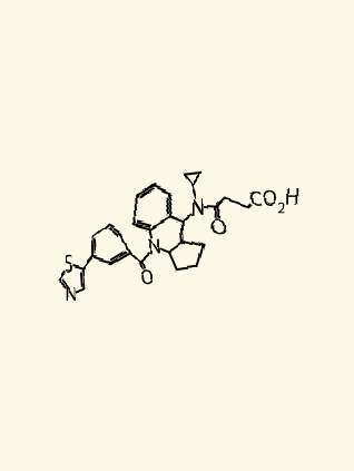 O=C(O)CCC(=O)N(C1CC1)C1c2ccccc2N(C(=O)c2cccc(-c3cncs3)c2)C2CCCC21